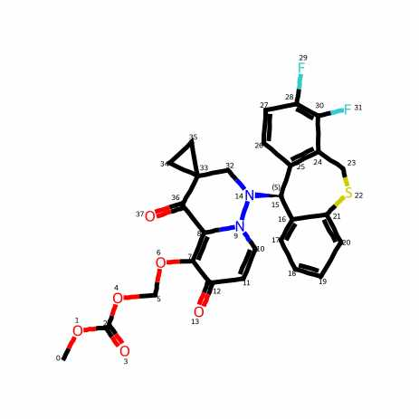 COC(=O)OCOc1c2n(ccc1=O)N([C@@H]1c3ccccc3SCc3c1ccc(F)c3F)CC1(CC1)C2=O